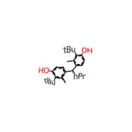 CCCC(c1ccc(O)c(C(C)(C)C)c1C)c1ccc(O)c(C(C)(C)C)c1C